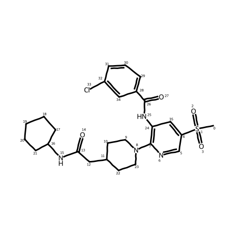 CS(=O)(=O)c1cnc(N2CCC(CC(=O)NC3CCCCC3)CC2)c(NC(=O)c2cccc(Cl)c2)c1